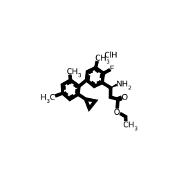 CCOC(=O)C[C@H](N)c1cc(-c2c(C)cc(C)cc2C2CC2)cc(C)c1F.Cl